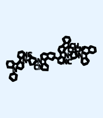 CC1(C)c2ccccc2-c2ccc3c4c(-c5ccc6ccc7c(c6c5)c5ccccc5n7-c5cc(C#N)c(-n6c7ccccc7c7c8c9ccccc9n(-c9ccccc9)c8ccc76)cc5C#N)cccc4n(-c4cc(C#N)c(-n5c6ccccc6c6c7ccccc7ccc65)cc4C#N)c3c21